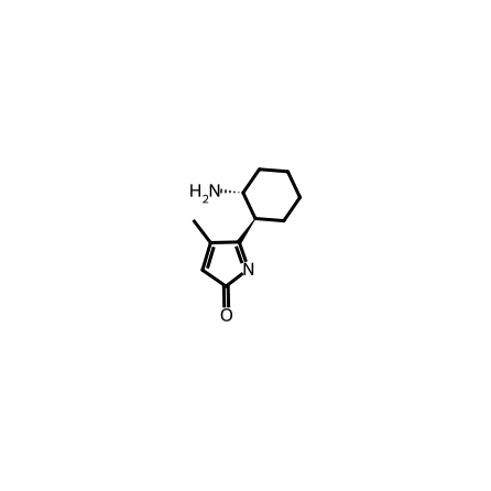 CC1=CC(=O)N=C1[C@@H]1CCCC[C@H]1N